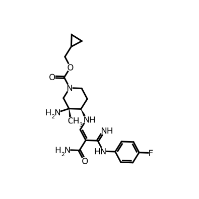 C[C@@]1(N)CN(C(=O)OCC2CC2)CC[C@H]1N/C=C(\C(=N)Nc1ccc(F)cc1)C(N)=O